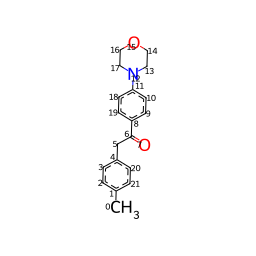 Cc1ccc(CC(=O)c2ccc(N3CCOCC3)cc2)cc1